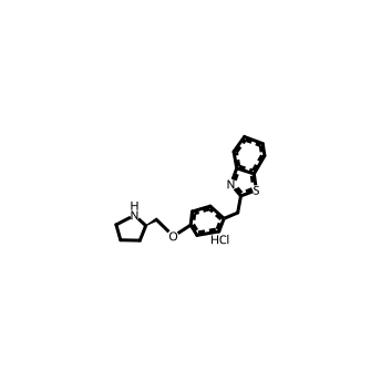 Cl.c1ccc2sc(Cc3ccc(OC[C@H]4CCCN4)cc3)nc2c1